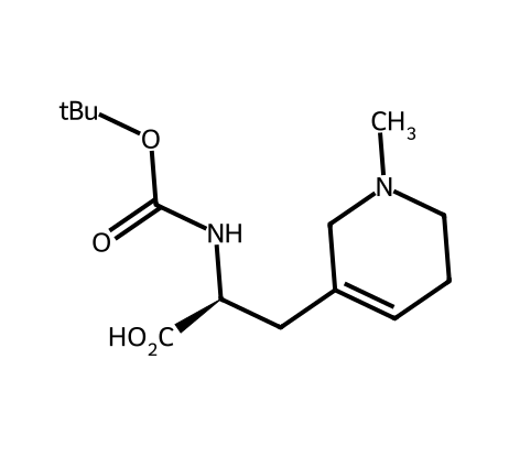 CN1CCC=C(C[C@H](NC(=O)OC(C)(C)C)C(=O)O)C1